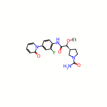 CCOC(C(=O)Nc1ccc(-n2ccccc2=O)cc1F)[C@H]1[CH]CN(C(N)=O)C1